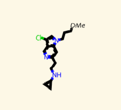 COCCCn1cc(Cl)c2cnc(CCNC3CC3)cc21